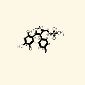 CS(=O)(=O)NCc1noc(-c2cc(Cl)c(O)cc2O)c1-c1ccc(F)cc1